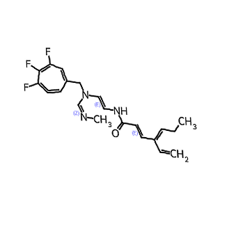 C=CC(=CCC)/C=C/C(=O)N/C=C/N(/C=N\C)CC1=CC(F)=C(F)C(F)=C=C1